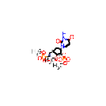 CO[C@H]1[C@@H](OP(=O)(O)OC)[C@@H](n2ccc(=O)[nH]c2=O)C[C@@H]1/C=C/P(=O)(O)OC